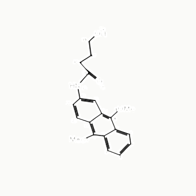 COc1c2ccccc2c(OC)c2cc(NC(=O)CCCO)ccc12